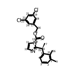 Cc1cccc([C@H](C)c2nccn2C(=O)OCc2cc(Cl)cc(Cl)c2)c1C